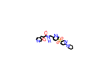 O=C(NCc1ccc(S(=O)(=O)c2ccc(N3CCCCC3)nc2)cn1)c1cc2ccncc2o1